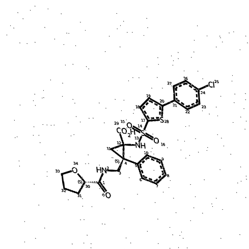 O=C(NC[C@@]1(c2ccccc2)CC1(NS(=O)(=O)c1ccc(-c2ccc(Cl)cc2)s1)C(=O)O)[C@@H]1CCCO1